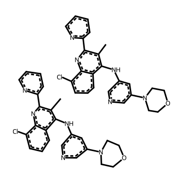 Cc1c(-c2ccccn2)nc2c(Cl)cccc2c1Nc1cncc(N2CCOCC2)c1.Cc1c(-c2ccccn2)nc2c(Cl)cccc2c1Nc1cncc(N2CCOCC2)c1